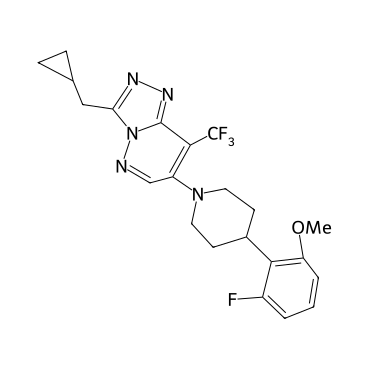 COc1cccc(F)c1C1CCN(c2cnn3c(CC4CC4)nnc3c2C(F)(F)F)CC1